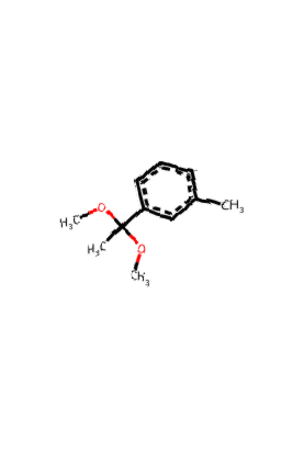 COC(C)(OC)c1cc[c]c(C)c1